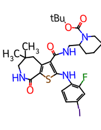 CC1(C)CNC(=O)c2sc(Nc3ccc(I)cc3F)c(C(=O)NCC3CCCCN3C(=O)OC(C)(C)C)c2C1